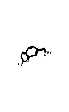 CCc1ccc2ccc(CO)cc2n1